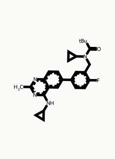 Cc1nc(NC2CC2)c2cc(-c3ccc(F)c(CN(C(=O)C(C)(C)C)C4CC4)c3)ccc2n1